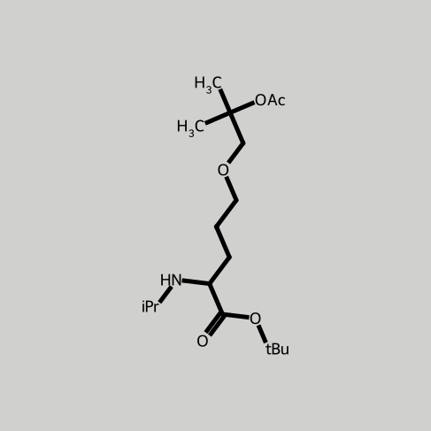 CC(=O)OC(C)(C)COCCCC(NC(C)C)C(=O)OC(C)(C)C